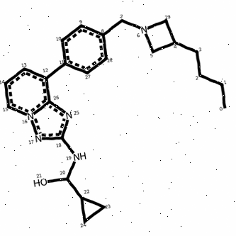 CCCCC1CN(Cc2ccc(-c3cccn4nc(NC(O)C5CC5)nc34)cc2)C1